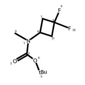 CN(C(=O)OC(C)(C)C)C1CC(F)(F)C1